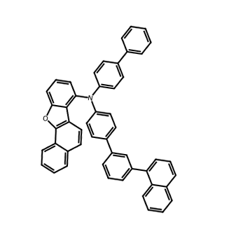 c1ccc(-c2ccc(N(c3ccc(-c4cccc(-c5cccc6ccccc56)c4)cc3)c3cccc4oc5c6ccccc6ccc5c34)cc2)cc1